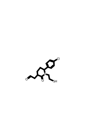 O=CCC1CCC(c2ccc(Cl)cc2)N(CCS)C1=O